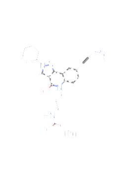 Cc1c2c(=O)n(CCCNC(=O)OC(C)(C)C)c3ccc(C#CCN(C)C)cc3c2nn1C1CCCCO1